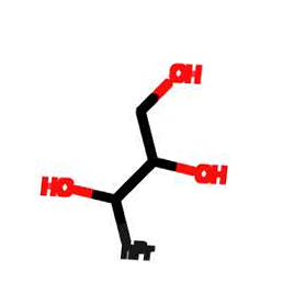 CCCC(O)C(O)CO